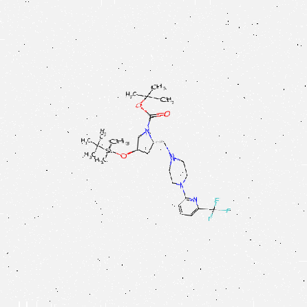 CC(C)(C)OC(=O)N1C[C@H](O[Si](C)(C)C(C)(C)C)C[C@H]1CN1CCN(c2cccc(C(F)(F)F)n2)CC1